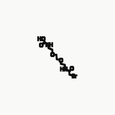 O=C(O)NCCOCCOCCNC(=O)CBr